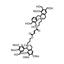 COc1cc(C2c3c(cc(OC)c(OC)c3OC)CC[N+]2(C)CCCOC(=O)/C=C/C(=O)OCCC[N+]2(C)CCc3cc(CO)c(CO)c(OC)c3C2Cc2ccc(CO)c(CO)c2)cc(CO)c1OC